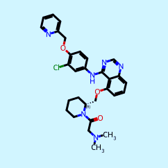 CN(C)CC(=O)N1CCCC[C@@H]1COc1cccc2ncnc(Nc3ccc(OCc4ccccn4)c(Cl)c3)c12